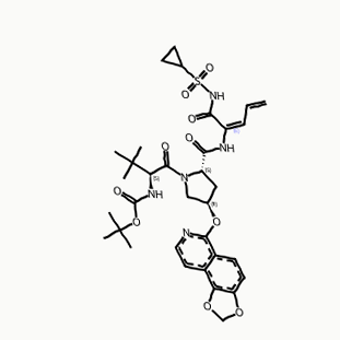 C=C/C=C(/NC(=O)[C@@H]1C[C@@H](Oc2nccc3c4c(ccc23)OCO4)CN1C(=O)[C@@H](NC(=O)OC(C)(C)C)C(C)(C)C)C(=O)NS(=O)(=O)C1CC1